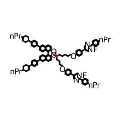 CCCc1ccc(-c2ncc(-c3ccc(OCCCCCCOc4ccc5cc(-c6ccc(C7CCC(CCC)CC7)cc6)ccc5c4-c4c(OCCCCCCOc5ccc(-c6cnc(-c7ccc(CCC)cc7F)nc6)cc5)ccc5cc(-c6ccc(C7CCC(CCC)CC7)cc6)ccc45)cc3)cn2)c(F)c1